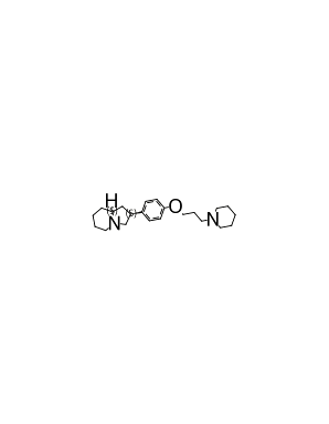 c1cc([C@@H]2C[C@@H]3CCCCN3C2)ccc1OCCCN1CCCCC1